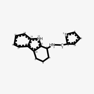 c1csc(CNC2CCCc3c2[nH]c2ccccc32)c1